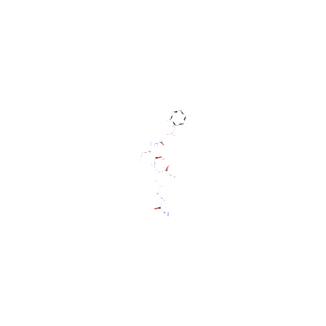 CC(C)[C@H](NC(=O)OCc1ccccc1)C(=O)N[C@@H](CCCNC(N)=O)C(=O)O